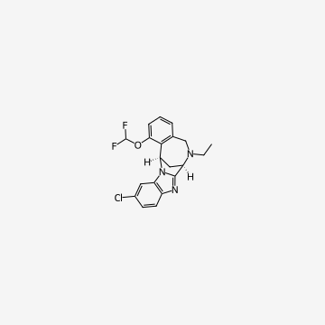 CCN1Cc2cccc(OC(F)F)c2[C@H]2C[C@@H]1c1nc3ccc(Cl)cc3n12